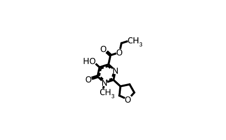 CCOC(=O)c1nc(C2CCOC2)n(C)c(=O)c1O